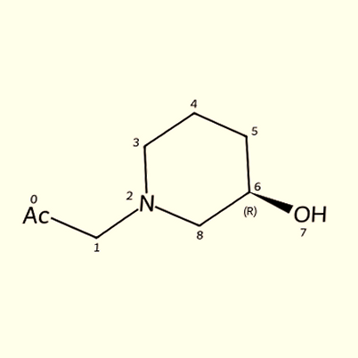 CC(=O)CN1CCC[C@@H](O)C1